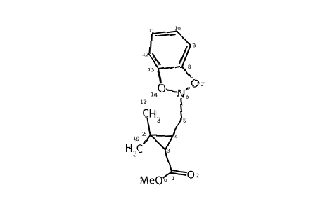 COC(=O)C1C(CN2Oc3ccccc3O2)C1(C)C